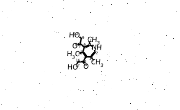 CC1=CNC(C)=C(C(=O)CO)C(C)=C1C(=O)CO